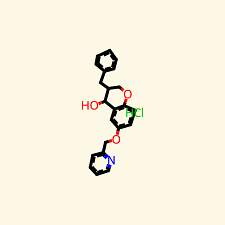 Cl.OC1c2cc(OCc3ccccn3)ccc2OCC1Cc1ccccc1